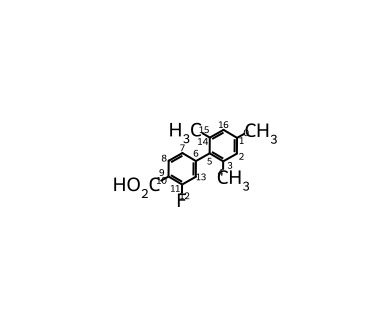 Cc1cc(C)c(-c2ccc(C(=O)O)c(F)c2)c(C)c1